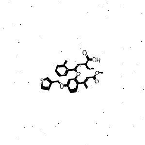 CCC(CC(Oc1cc(OCc2ccsc2)ccc1C(C)=CC(=O)OC)c1ccccc1C)C(=O)O